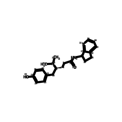 CN(C)[C@H](CCC(=O)NC1CCc2cccnc21)Cc1ccc(O)cc1